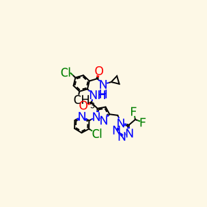 Cc1cc(Cl)cc(C(=O)NC2CC2)c1NC(=O)c1cc(Cn2nnnc2C(F)F)nn1-c1ncccc1Cl